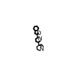 c1ccc2oc(-c3ccc(C45CCCN(CC4)C5)cn3)cc2c1